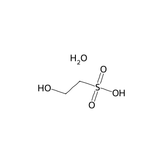 O.O=S(=O)(O)CCO